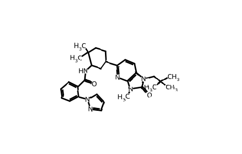 Cn1c(=O)n(CC(C)(C)C)c2ccc(C3CCC(C)(C)C(NC(=O)c4ccccc4-n4cccn4)C3)nc21